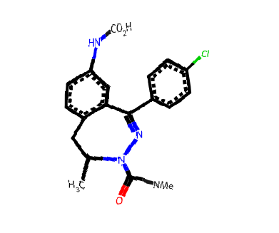 CNC(=O)N1N=C(c2ccc(Cl)cc2)c2cc(NC(=O)O)ccc2CC1C